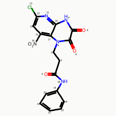 O=C(CCn1c(=O)c(=O)[nH]c2nc(Cl)cc([N+](=O)[O-])c21)Nc1ccccc1